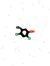 CC(C)(C)C1CC(O)=C(Cl)C=C1Cl